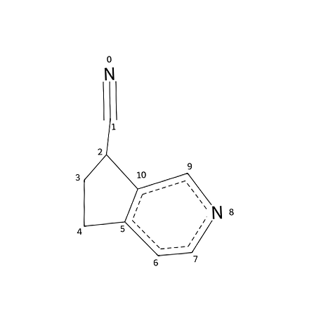 N#CC1CCc2ccncc21